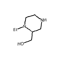 CCN1CCNCC1CO